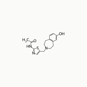 CC(=O)Nc1ncc(CN2CCc3ccc(O)cc3CC2)s1